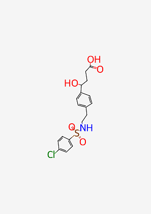 O=C(O)CCC(O)c1ccc(CCNS(=O)(=O)c2ccc(Cl)cc2)cc1